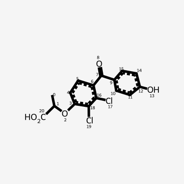 CC(Oc1ccc(C(=O)c2ccc(O)cc2)c(Cl)c1Cl)C(=O)O